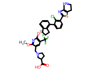 COc1nc(O[C@H]2CCc3c(-c4cccc(-c5nc6c(s5)CCNC6)c4Cl)cccc32)c(C(F)(F)F)cc1CN1CCC(C(=O)O)C1